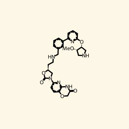 CO[C@H]1CNC[C@H]1Oc1cccc(-c2cccc(CNCC[C@H]3CN(c4ccc5c(n4)NC(=O)CO5)C(=O)O3)c2)n1